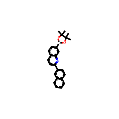 CC1(C)OB(c2ccc3ccc(-c4ccc5ccccc5c4)nc3c2)OC1(C)C